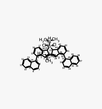 CC1=Cc2c(-c3cccc4ccccc34)cccc2[CH]1[Zr]([Cl])([Cl])([CH]1C(C(C)C)=Cc2c(-c3cccc4ccccc34)cccc21)[SiH](C)C